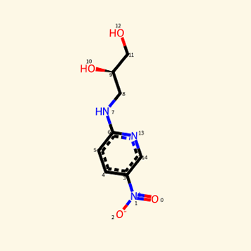 O=[N+]([O-])c1ccc(NC[C@@H](O)CO)nc1